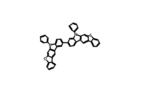 c1ccc(-n2c3ccc(-c4ccc5c6cc7c(cc6n(-c6ccccc6)c5c4)sc4ccccc47)cc3c3cc4c(cc32)oc2ccccc24)cc1